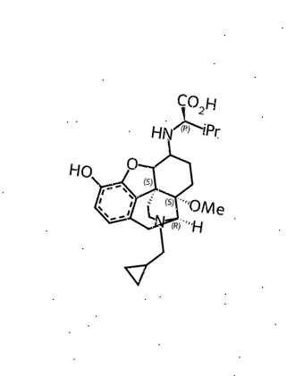 CO[C@@]12CCC(N[C@@H](C(=O)O)C(C)C)C3Oc4c(O)ccc5c4[C@@]31CCN(CC1CC1)[C@@H]2C5